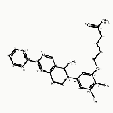 CC1c2cnc(-c3ncccn3)nc2CCN1c1cc(F)c(F)c(OCCCCC(N)=O)c1